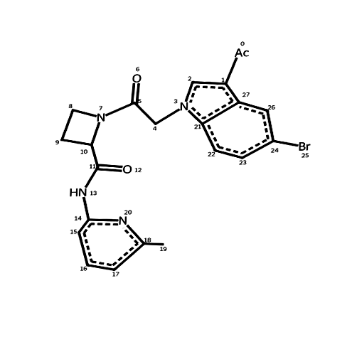 CC(=O)c1cn(CC(=O)N2CCC2C(=O)Nc2cccc(C)n2)c2ccc(Br)cc12